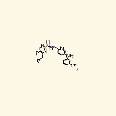 Fc1cnc(N/N=C/c2ccc(Nc3cccc(C(F)(F)F)c3)cn2)nc1CC1CC1